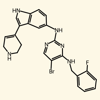 Fc1ccccc1CNc1nc(Nc2ccc3[nH]cc(C4=CCNCC4)c3c2)ncc1Br